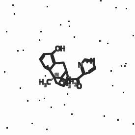 CC1(C)C2Cc3c(O)cccc3[C@]1(C)CCN2C(=O)c1ccncn1